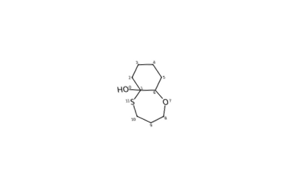 OC12CCCCC1OCCCS2